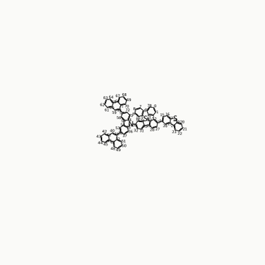 c1ccc([Si]2(c3ccccc3)c3cc(-c4ccc5sc6ccccc6c5c4)ccc3-c3ccc(-n4c5ccc(-c6cc7ccccc7c7ccccc67)cc5c5cc(-c6cc7ccccc7c7ccccc67)ccc54)cc32)cc1